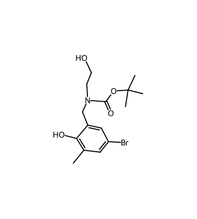 Cc1cc(Br)cc(CN(CCO)C(=O)OC(C)(C)C)c1O